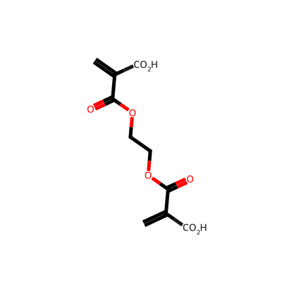 C=C(C(=O)O)C(=O)OCCOC(=O)C(=C)C(=O)O